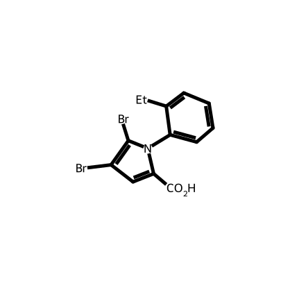 CCc1ccccc1-n1c(C(=O)O)cc(Br)c1Br